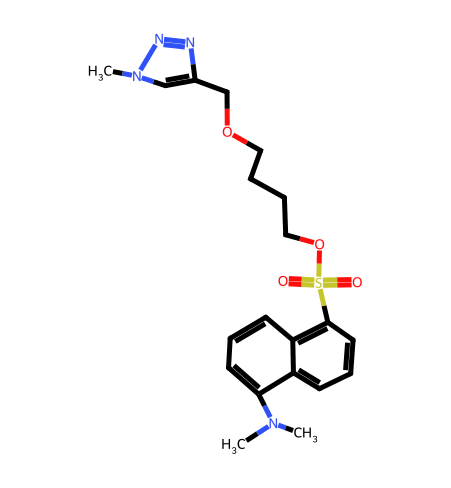 CN(C)c1cccc2c(S(=O)(=O)OCCCCOCc3cn(C)nn3)cccc12